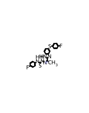 C/C(=N/NC(=S)Nc1ccc(F)cc1)c1nc2cc(Sc3ccc(F)cc3)ccc2[nH]1